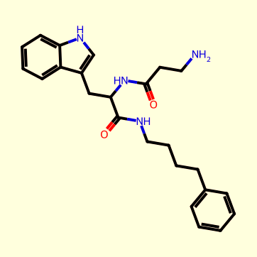 NCCC(=O)NC(Cc1c[nH]c2ccccc12)C(=O)NCCCCc1ccccc1